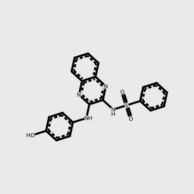 O=S(=O)(Nc1nc2ccccc2nc1Nc1ccc(O)cc1)c1ccccc1